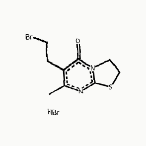 Br.Cc1nc2n(c(=O)c1CCBr)CCS2